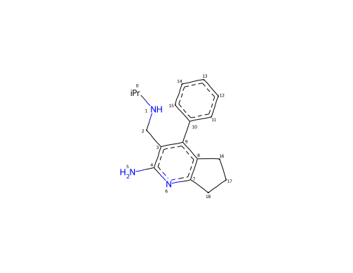 CC(C)NCc1c(N)nc2c(c1-c1ccccc1)CCC2